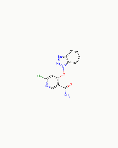 NC(=O)c1cnc(Cl)cc1On1nnc2ccccc21